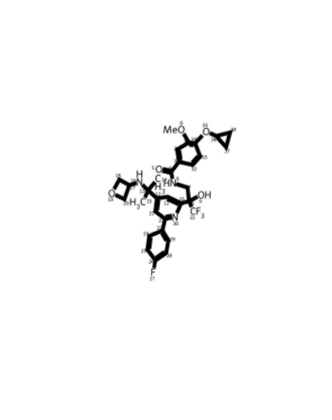 COc1cc(C(=O)NCC(O)(c2cc(C(C)(C)NC3COC3)cc(-c3ccc(F)cc3)n2)C(F)(F)F)ccc1OC1CC1